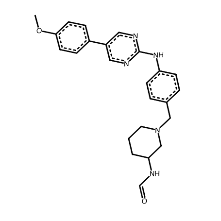 COc1ccc(-c2cnc(Nc3ccc(CN4CCCC(NC=O)C4)cc3)nc2)cc1